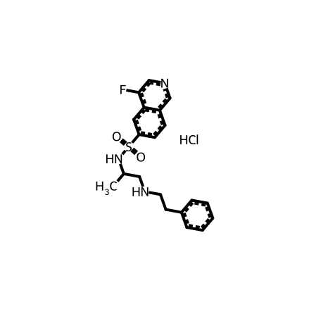 CC(CNCCc1ccccc1)NS(=O)(=O)c1ccc2cncc(F)c2c1.Cl